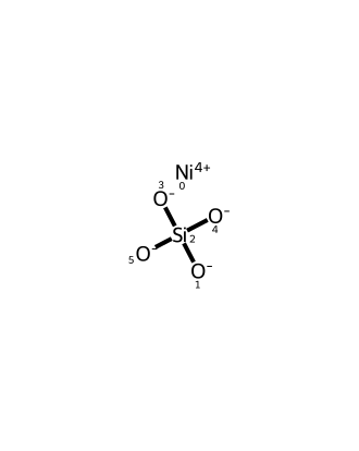 [Ni+4].[O-][Si]([O-])([O-])[O-]